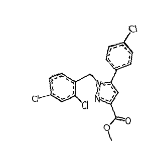 COC(=O)c1cc(-c2ccc(Cl)cc2)n(Cc2ccc(Cl)cc2Cl)n1